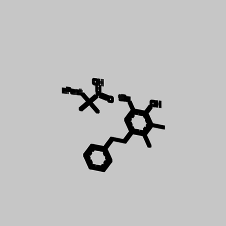 CCCCCC(C)(C)[PH](=O)O.Cc1c(CCc2ccccc2)cc(C(C)(C)C)c(O)c1C